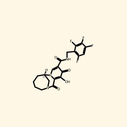 O=C(NCc1c(F)cc(F)c(F)c1F)c1cn2c(c(O)c1=O)C(=O)N1CCCC[C@H]2C1